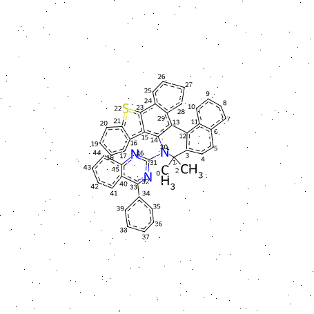 CC1(C)c2ccc3ccccc3c2-c2c(c3c4ccccc4sc3c3ccccc23)N1c1nc(-c2ccccc2)c2ccccc2n1